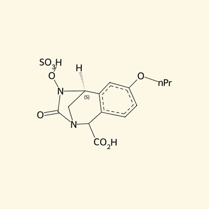 CCCOc1ccc2c(c1)[C@H]1CN(C(=O)N1OS(=O)(=O)O)C2C(=O)O